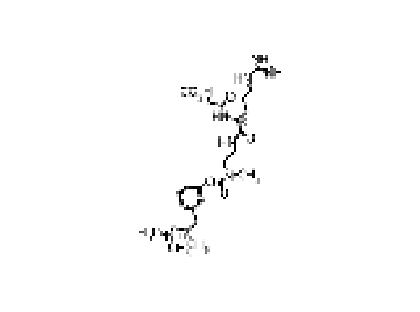 C[C@H](Cc1cccc(OC(=O)N(C)CCNC(=O)[C@H](CCCNC(=N)N)NC(=O)CC(=O)O)c1)CN(C)C